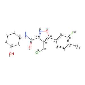 O=C(N[C@H]1CCC[C@@H](O)C1)c1noc(-c2ccc(C(F)(F)F)c(F)c2)c1CCl